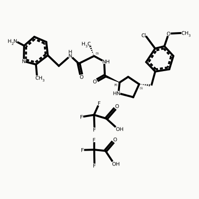 COc1ccc(C[C@@H]2CN[C@@H](C(=O)N[C@@H](C)C(=O)NCc3ccc(N)nc3C)C2)cc1Cl.O=C(O)C(F)(F)F.O=C(O)C(F)(F)F